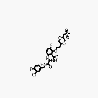 CS(=O)(=O)CC1COC(CCOc2c(F)ccc3nc(C(=O)NCc4ccc(F)c(Cl)c4)[nH]c(=O)c23)CO1